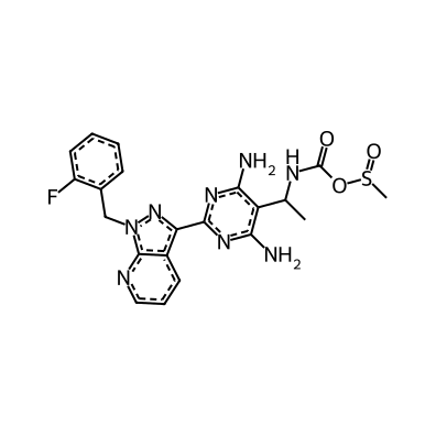 CC(NC(=O)OS(C)=O)c1c(N)nc(-c2nn(Cc3ccccc3F)c3ncccc23)nc1N